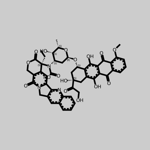 CC[C@@]1(N(C(=O)O)[C@H]2C[C@H](O[C@H]3C[C@](O)(C(=O)CO)Cc4c(O)c5c(c(O)c43)C(=O)c3c(OC)cccc3C5=O)O[C@@H](C)[C@H]2O)C(=O)OCc2c1cc1n(c2=O)Cc2cc3ccccc3nc2-1